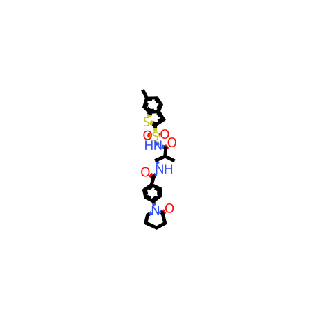 Cc1ccc2cc(S(=O)(=O)NC(=O)C(C)CNC(=O)c3ccc(N4CCCCC4=O)cc3)sc2c1